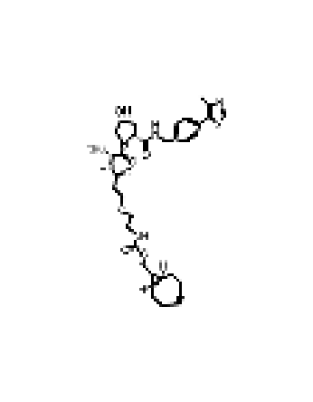 Cc1ncsc1-c1ccc(CNC(=O)[C@@H]2C[C@@H](O)CN2C(=O)[C@@H](NC(=O)CCOCCNC(=O)OCC2[C@H]3CCC#CCC[C@@H]23)C(C)(C)C)cc1